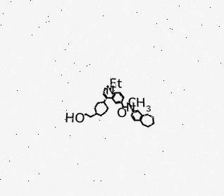 CCN1CC=C(C2CCCC(CCO)CC2)c2cc(C(=O)N(C)c3ccc4c(c3)CCCCC4)ccc21